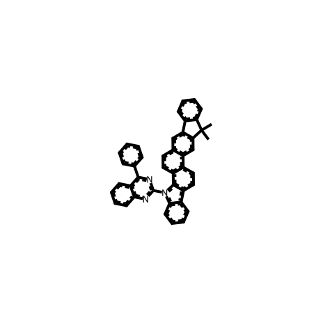 CC1(C)c2ccccc2-c2cc3ccc4c(ccc5c6ccccc6n(-c6nc(-c7ccccc7)c7ccccc7n6)c45)c3cc21